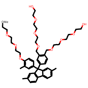 COCCOCCOCCOc1ccc(C2(c3ccc(COCCOCCOCCO)c(COCCOCCOCCO)c3)c3cc(C)ccc3-c3ccc(C)cc32)cc1C